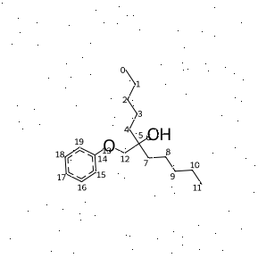 CCCCCC(O)(CCCCC)COc1ccccc1